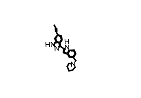 CC#Cc1ccc2c(-c3cc4cc(CN5CCCCC5)ccc4[nH]3)n[nH]c2c1